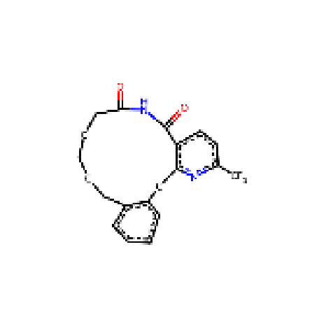 O=C1CCCCCc2ccccc2Cc2nc(C(F)(F)F)ccc2C(=O)N1